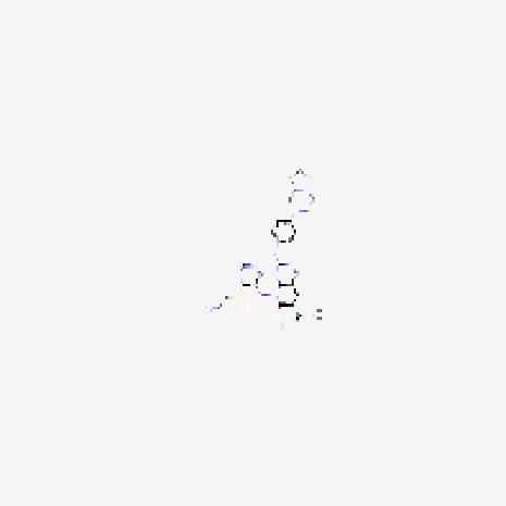 C=C(c1cc2cnc(Nc3ccc(N4CCN5CCCC5C4)c(F)c3)nc2n(Cc2cncnc2[S+]([O-])CCN(C)C)c1=O)C1CC1